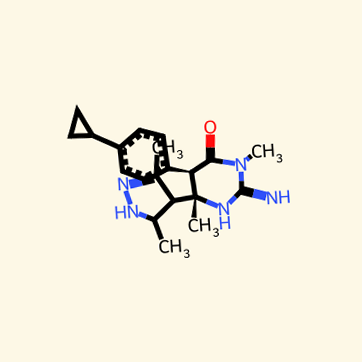 CC1=NNC(C)C1[C@@]1(C)NC(=N)N(C)C(=O)[C@@H]1c1ccc(C2CC2)cc1